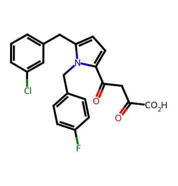 O=C(O)C(=O)CC(=O)c1ccc(Cc2cccc(Cl)c2)n1Cc1ccc(F)cc1